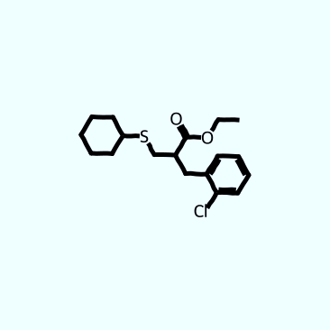 CCOC(=O)C(CSC1CCCCC1)Cc1ccccc1Cl